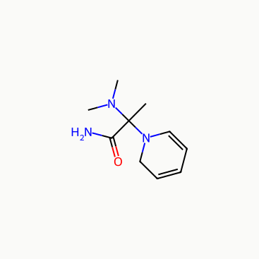 CN(C)C(C)(C(N)=O)N1C=CC=CC1